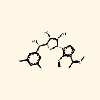 C=Nc1c(/C(C)=N\C)ccn1[C@@H]1O[C@H]([C@@H](O)c2cc(F)cc(F)c2)[C@@H](O)[C@H]1O